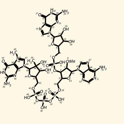 COC1C(OP(=O)(O)OCC2OC(n3cnc4c(=O)[nH]c(N)nc43)C(O)C2O)C(COP(=O)(O)OP(=O)(O)OP(=O)(O)OCC2OC(n3c[n+](C)c4c(=O)[nH]c(N)nc43)C(C)(O)C2O)OC1n1cnc2c(N)ncnc21